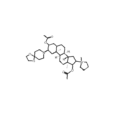 CC(=O)OC1CC2CC[C@@H]3[C@@H](CC[C@]4(C)C(OC(C)=O)C([N+]5(C)CCCC5)C[C@@H]34)[C@@]2(C)CC1N1CCC2(CC1)OCCO2